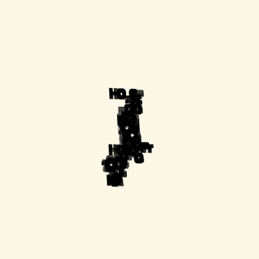 CC(C)C1=C2[C@H]3CC[C@@H]4[C@@]5(C)CC[C@H](OC(=O)CC(C)(C)C(=O)O)C(C)(C)[C@@H]5CC[C@@]4(C)[C@]3(C)CCC2(C(O)CN(CCCn2ccnc2)Cc2ccccc2)CC1=O